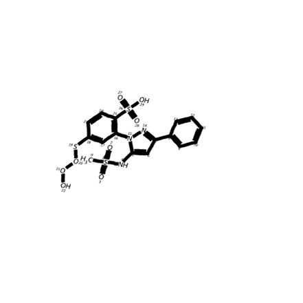 CS(=O)(=O)Nc1cc(-c2ccccc2)nn1-c1cc(SOOO)ccc1S(=O)(=O)O